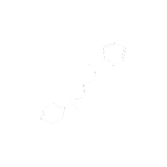 O=S(OCOS(=O)(=O)c1ccccc1)c1ccccc1